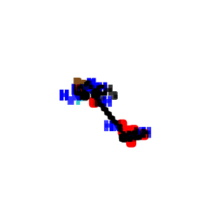 Cc1cc([S+]([O-])NCCCCCCCCCCNC(=O)COc2cccc3c2C(=O)N(C2CCC(=O)NC2=O)C3=O)ccc1Nc1ncc(Br)c(Nc2cccc(F)c2C(N)=O)n1